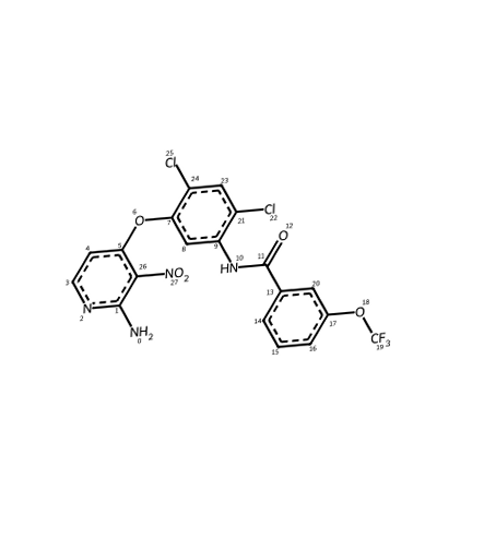 Nc1nccc(Oc2cc(NC(=O)c3cccc(OC(F)(F)F)c3)c(Cl)cc2Cl)c1[N+](=O)[O-]